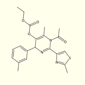 CCOC(=O)OC1=C(C)N(C(C)=O)C(c2csc(C)n2)=NC1c1cccc(C)c1